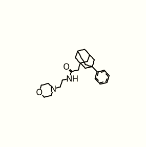 O=C(CC12CC3CC(C1)CC(c1ccccc1)(C3)C2)NCCN1CCOCC1